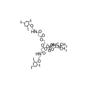 C[N+](C)(C)CCOP(=O)(O)OC[C@@H](COC(=O)CC(=O)NCCOc1c(I)cc(I)cc1I)OC(=O)CC(=O)NCCOc1c(I)cc(I)cc1I